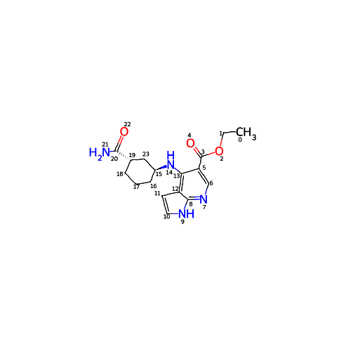 CCOC(=O)c1cnc2[nH]ccc2c1N[C@H]1CCC[C@H](C(N)=O)C1